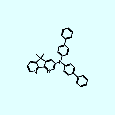 CC1(C)c2cccnc2-c2ncc(N(c3ccc(-c4ccccc4)cc3)c3ccc(-c4ccccc4)cc3)cc21